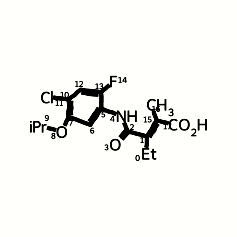 CCC(C(=O)Nc1cc(OC(C)C)c(Cl)cc1F)=C(C)C(=O)O